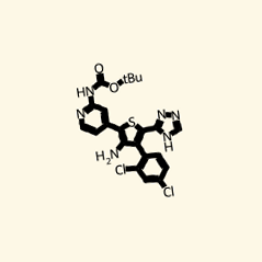 CC(C)(C)OC(=O)Nc1cc(-c2sc(-c3nnc[nH]3)c(-c3ccc(Cl)cc3Cl)c2N)ccn1